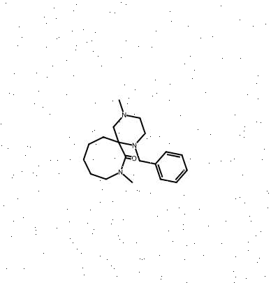 CN1CCN(Cc2ccccc2)C2(CCCCCN(C)C2=O)C1